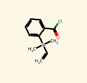 C=C[Si](C)(C)c1ccccc1C(=O)Cl